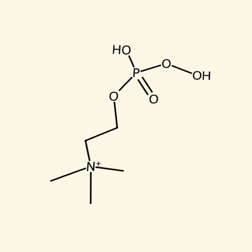 C[N+](C)(C)CCOP(=O)(O)OO